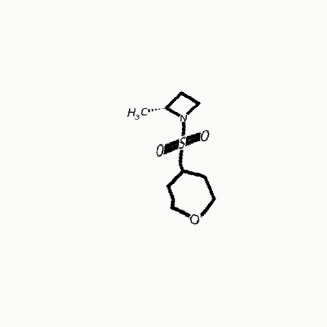 C[C@@H]1CCN1S(=O)(=O)C1CCOCC1